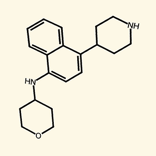 c1ccc2c(C3CCNCC3)ccc(NC3CCOCC3)c2c1